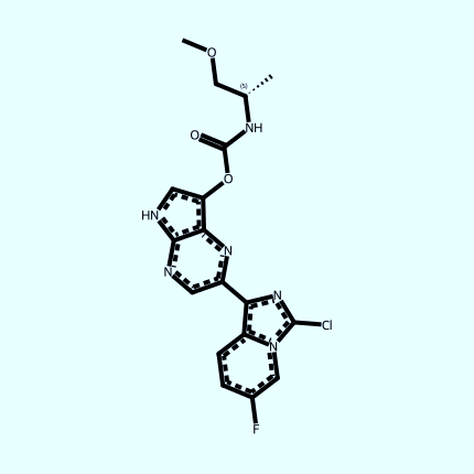 COC[C@H](C)NC(=O)Oc1c[nH]c2ncc(-c3nc(Cl)n4cc(F)ccc34)nc12